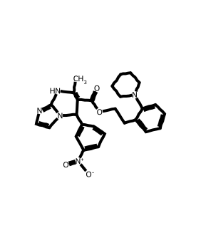 CC1=C(C(=O)OCCc2ccccc2N2CCCCC2)C(c2cccc([N+](=O)[O-])c2)n2ccnc2N1